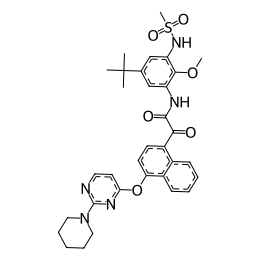 COc1c(NC(=O)C(=O)c2ccc(Oc3ccnc(N4CCCCC4)n3)c3ccccc23)cc(C(C)(C)C)cc1NS(C)(=O)=O